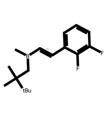 CB(/C=C/c1cccc(F)c1F)CC(C)(C)C(C)(C)C